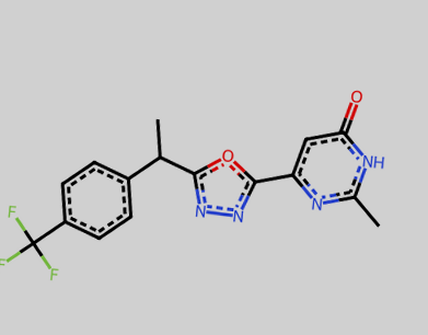 Cc1nc(-c2nnc(C(C)c3ccc(C(F)(F)F)cc3)o2)cc(=O)[nH]1